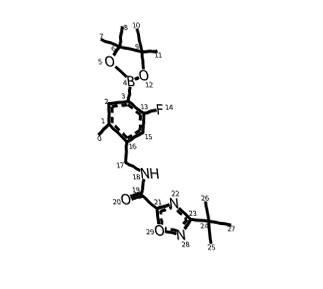 Cc1cc(B2OC(C)(C)C(C)(C)O2)c(F)cc1CNC(=O)c1nc(C(C)(C)C)no1